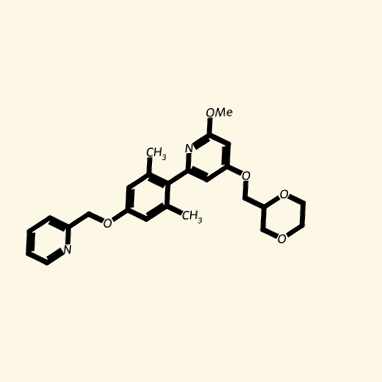 COc1cc(OCC2COCCO2)cc(-c2c(C)cc(OCc3ccccn3)cc2C)n1